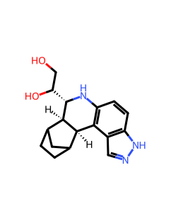 OCC(O)[C@@H]1Nc2ccc3[nH]ncc3c2[C@H]2C3CCC(C3)[C@@H]12